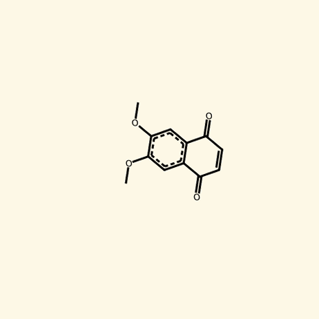 COc1cc2c(cc1OC)C(=O)C=CC2=O